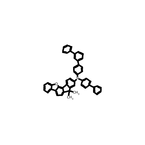 CC1(C)c2cc(N(c3ccc(-c4ccccc4)cc3)c3ccc(-c4cccc(-c5ccccc5)c4)cc3)ccc2-c2c1ccc1c2oc2ccccc21